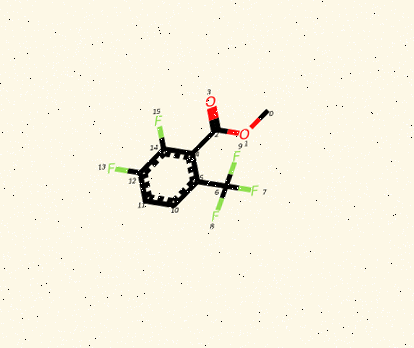 COC(=O)c1c(C(F)(F)F)ccc(F)c1F